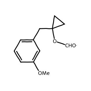 COc1cccc(CC2(O[C]=O)CC2)c1